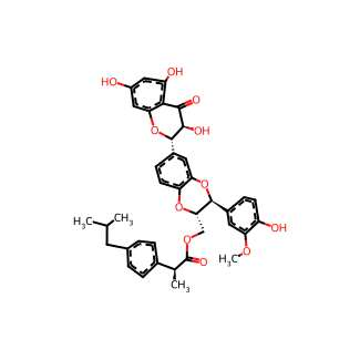 COc1cc([C@@H]2Oc3cc([C@@H]4Oc5cc(O)cc(O)c5C(=O)[C@H]4O)ccc3O[C@H]2COC(=O)[C@@H](C)c2ccc(CC(C)C)cc2)ccc1O